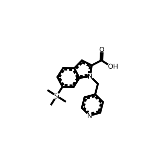 C[Si](C)(C)c1ccc2cc(C(=O)O)n(Cc3ccncc3)c2c1